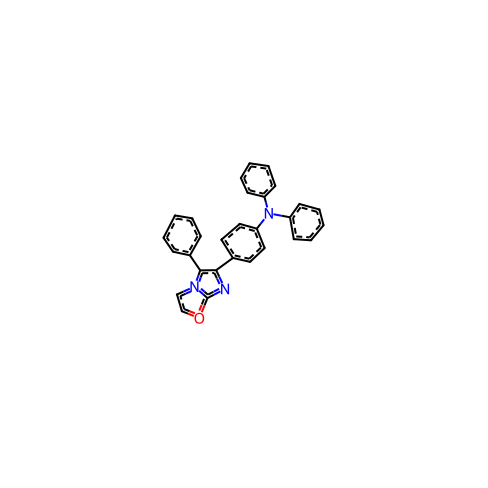 c1ccc(-c2c(-c3ccc(N(c4ccccc4)c4ccccc4)cc3)nc3occn23)cc1